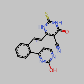 N#Cc1c(/C=C/c2ccccc2-c2ccnc(O)n2)[nH]c(=S)[nH]c1=O